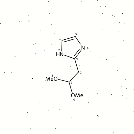 COC(Cc1ncc[nH]1)OC